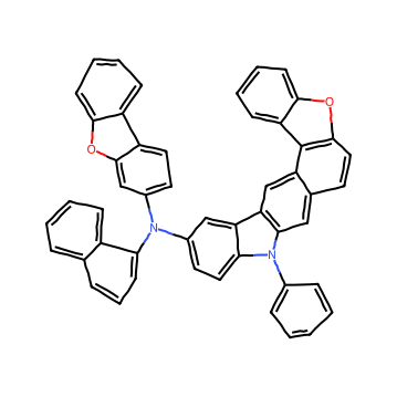 c1ccc(-n2c3ccc(N(c4ccc5c(c4)oc4ccccc45)c4cccc5ccccc45)cc3c3cc4c(ccc5oc6ccccc6c54)cc32)cc1